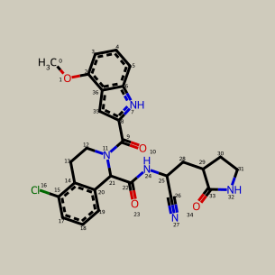 COc1cccc2[nH]c(C(=O)N3CCc4c(Cl)cccc4C3C(=O)NC(C#N)CC3CCNC3=O)cc12